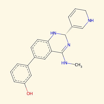 CNC1=N[C@@H](C2=CNCC=C2)Nc2ccc(-c3cccc(O)c3)cc21